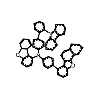 C1=CC2Oc3cccc(N(c4ccc(-c5ccccc5-n5c6ccccc6c6ccccc65)cc4)c4ccc(-c5cccc6oc7c8ccccc8ccc7c56)cc4)c3C2C=C1